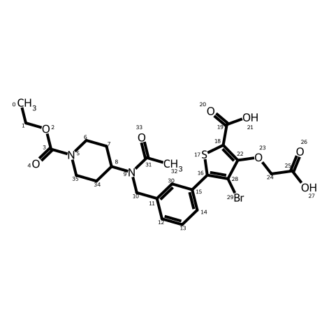 CCOC(=O)N1CCC(N(Cc2cccc(-c3sc(C(=O)O)c(OCC(=O)O)c3Br)c2)C(C)=O)CC1